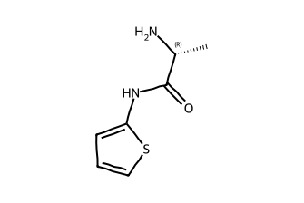 C[C@@H](N)C(=O)Nc1cccs1